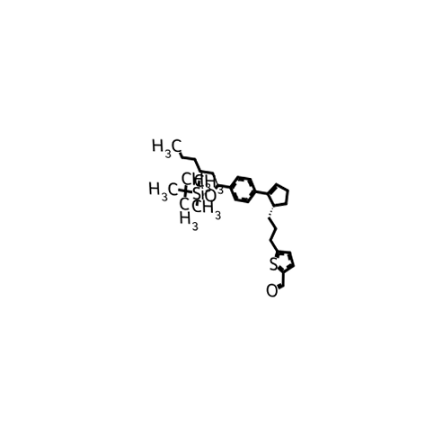 CCCCC[C@H](O[Si](C)(C)C(C)(C)C)c1ccc(C2=CCC[C@@H]2CCCc2ccc(C=O)s2)cc1